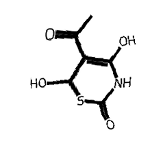 CC(=O)C1=C(O)NC(=O)SC1O